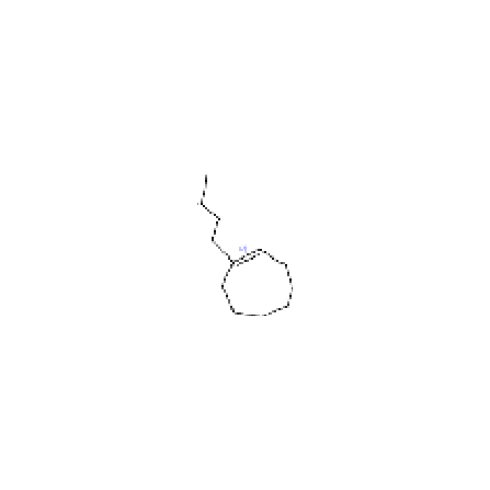 C[CH]CC/C1=C/CCCCCC1